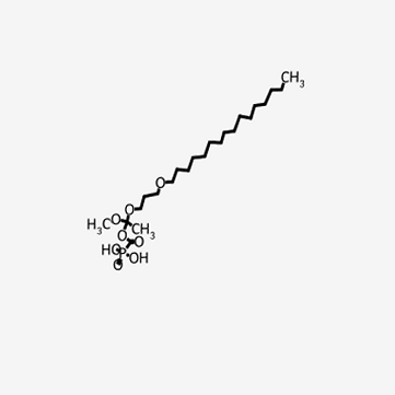 CCCCCCCCCCCCCCCCOCCCOC(C)(OC)OC(=O)P(=O)(O)O